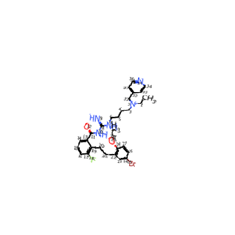 CCN(CCCCNC(=N)NC(=O)c1cccc(F)c1CCc1cc(Br)ccc1OC)Cc1ccncc1